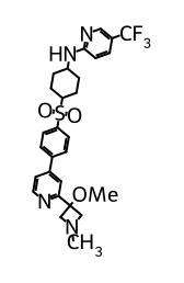 COC1(c2cc(-c3ccc(S(=O)(=O)C4CCC(Nc5ccc(C(F)(F)F)cn5)CC4)cc3)ccn2)CN(C)C1